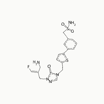 NC/C(=C\F)Cn1ncn(Cc2ccc(-c3cccc(CS(N)(=O)=O)c3)s2)c1=O